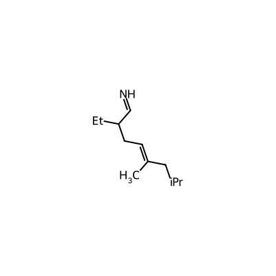 CCC(C=N)C/C=C(\C)CC(C)C